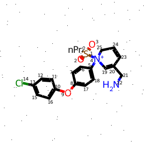 CCCS(=O)(=O)[N+]1(c2ccc(Oc3ccc(Cl)cc3)cc2)C=C(CN)C=CC1